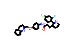 O=C(CCc1cccnc1-c1ccc(Cl)cc1F)Nc1ccc(OCc2ccc3ccccc3n2)cc1